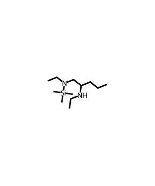 CCCC(CN(CC)[Si](C)(C)C)NCC